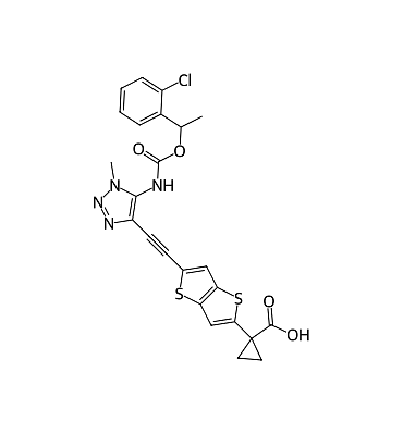 CC(OC(=O)Nc1c(C#Cc2cc3sc(C4(C(=O)O)CC4)cc3s2)nnn1C)c1ccccc1Cl